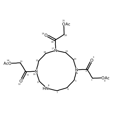 CC(=O)OCC(=O)N1CC[CH]NCN(C(=O)COC(C)=O)CCN(C(=O)COC(C)=O)CC1